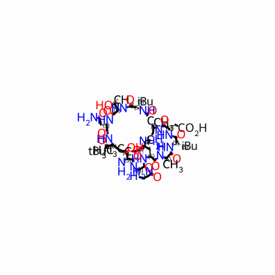 CC[C@H](C)[C@@H]1NC(=O)C[C@@](C)(NC(=O)[C@H](CC(=O)O)NC(=O)[C@@H](NC(=O)[C@H](C)NC(=O)[C@H](CC(N)=O)NC(=O)[C@H](CCC(N)=O)NC(=O)[C@@H](N)[C@@H](C)O)[C@@H](C)CC)CCC/C=C\CCC[C@@](C)(C(=O)C(C)(C)C)NC(=O)[C@H](CC(N)=O)NC(=O)[C@H]([C@@H](C)O)NC1=O